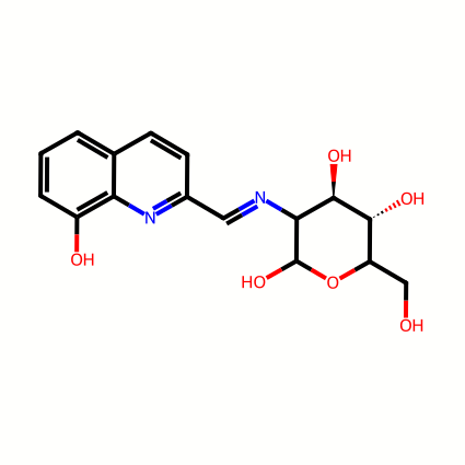 OCC1OC(O)C(/N=C/c2ccc3cccc(O)c3n2)[C@@H](O)[C@@H]1O